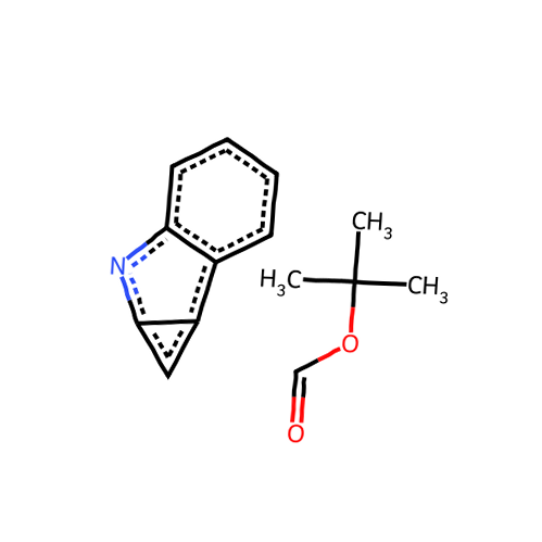 CC(C)(C)OC=O.c1ccc2c3cc-3nc2c1